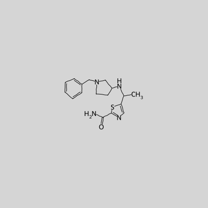 CC(NC1CCN(Cc2ccccc2)C1)c1cnc(C(N)=O)s1